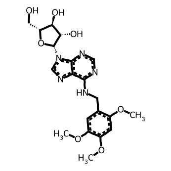 COc1cc(OC)c(OC)cc1CNc1ncnc2c1ncn2[C@@H]1O[C@H](CO)[C@@H](O)[C@@H]1O